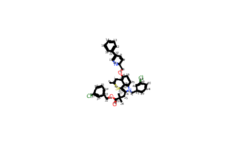 CC1Cc2c(OCc3ccc(-c4ccccc4)cn3)ccc3c2c(c(CC(C)(C)C(=O)OCc2cccc(Cl)c2)n3Cc2cccc(Cl)c2)S1